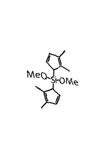 CO[Si](OC)(C1C=CC(C)=C1C)C1C=CC(C)=C1C